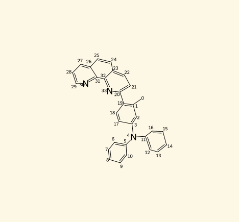 Cc1cc(N(c2ccccc2)c2ccccc2)ccc1-c1ccc2ccc3cccnc3c2n1